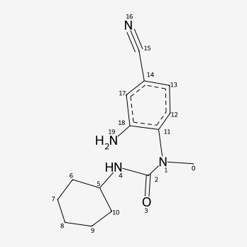 CN(C(=O)NC1CCCCC1)c1ccc(C#N)cc1N